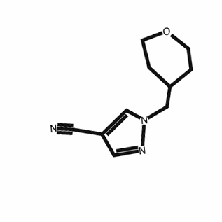 N#Cc1cnn(CC2CCOCC2)c1